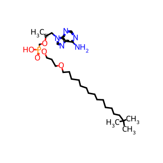 C[C@H](Cn1cnc2c(N)ncnc21)OCP(=O)(O)OCCCOCCCCCCCCCCCCCCC(C)(C)C